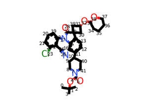 CC(C)(C)OC(=O)N1CCC(c2ccc3c(c2)N(c2cccc(Cl)c2C#N)C(=O)C32CC(OC3CCCCO3)C2)CC1